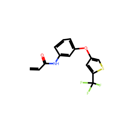 C=CC(=O)Nc1cccc(Oc2csc(C(F)(F)F)c2)c1